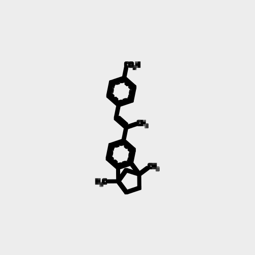 C/C(=C\c1ccc(C(=O)O)cc1)c1ccc2c(c1)C1(C)CCC2(C)C1